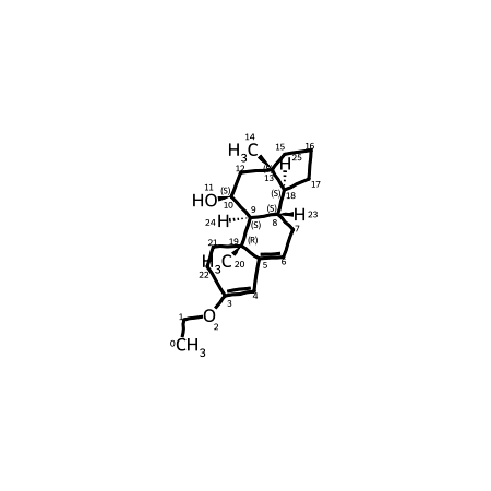 CCOC1=CC2=CC[C@@H]3[C@H]([C@@H](O)C[C@]4(C)CCC[C@@H]34)[C@@]2(C)CC1